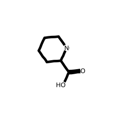 O=C(O)C1CCCC[N]1